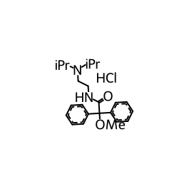 COC(C(=O)NCCN(C(C)C)C(C)C)(c1ccccc1)c1ccccc1.Cl